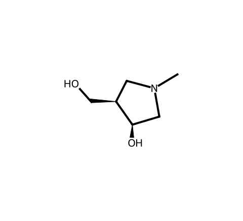 CN1C[C@H](CO)[C@H](O)C1